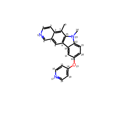 Cc1c2ccncc2cc2c3cc(Oc4ccncc4)ccc3n(C)c12